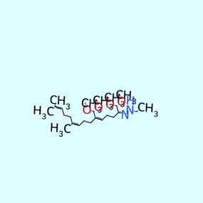 CCNN=C(CCC=C(CCC=C(C)CCC=C(C)C)C(OC)OC)C(OC)OC